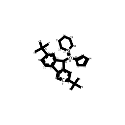 CC(C)(C)c1ccc2c(c1)[CH]([Zr]([C]1=CC=CC1)=[Si]1CCCCC1)c1cc(C(C)(C)C)ccc1-2